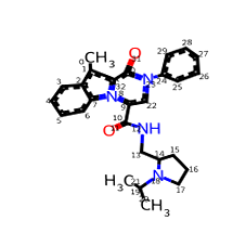 Cc1c2ccccc2n2c(C(=O)NCC3CCCN3C(C)C)cn(-c3ccccc3)c(=O)c12